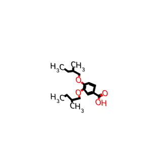 CCC(C)COc1ccc(C(=O)O)cc1OCC(C)CC